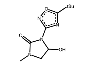 CN1CC(O)N(c2noc(C(C)(C)C)n2)C1=O